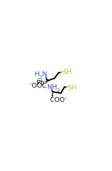 N[C@@H](CCS)C(=O)[O-].N[C@@H](CCS)C(=O)[O-].[Pb+2]